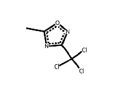 Cc1nc(C(Cl)(Cl)Cl)no1